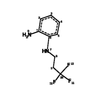 Nc1ccccc1NCCC(F)(F)F